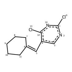 Clc1ncc(C=C2CCCCC2)c(Cl)n1